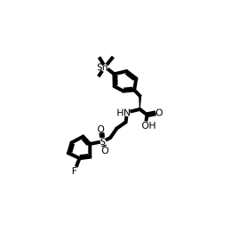 [CH3][Sn]([CH3])([CH3])[c]1ccc(C[C@H](NCCCS(=O)(=O)c2cccc(F)c2)C(=O)O)cc1